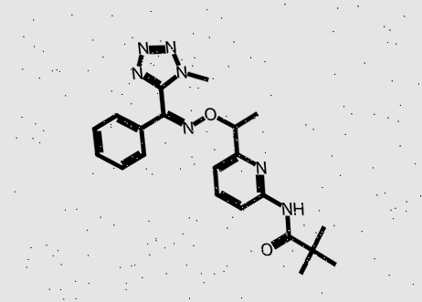 CC(O/N=C(/c1ccccc1)c1nnnn1C)c1cccc(NC(=O)C(C)(C)C)n1